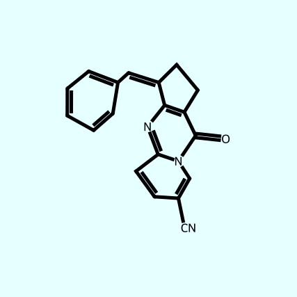 N#Cc1ccc2nc3c(c(=O)n2c1)CC/C3=C/c1ccccc1